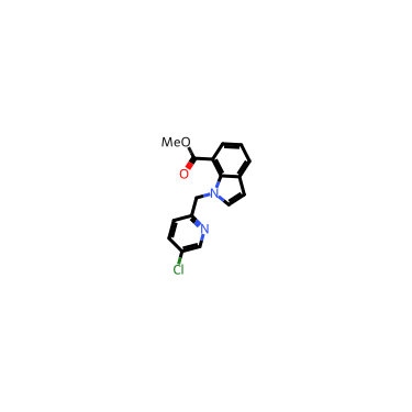 COC(=O)c1cccc2ccn(Cc3ccc(Cl)cn3)c12